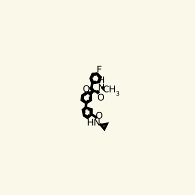 CNC(=O)c1c(-c2ccc(F)cc2)oc2ccc(-c3cccc(C(=O)NC4CC4)c3)cc12